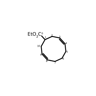 CCOC(=O)C1CC=CCCCC=CC1